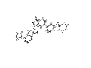 c1csc(-c2cncc3[nH]c(-c4n[nH]c5cnc(-c6cncc(CN7CCCCC7)c6)cc45)cc23)c1